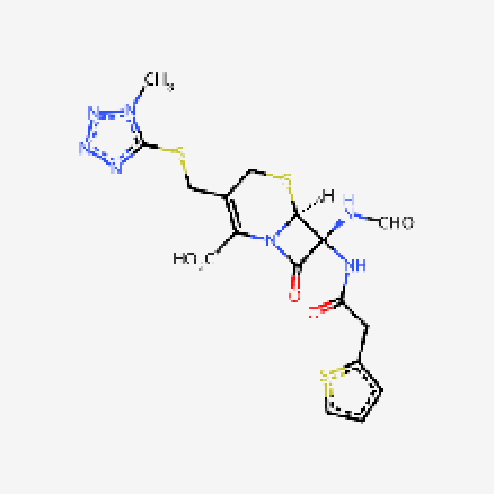 Cn1nnnc1SCC1=C(C(=O)O)N2C(=O)[C@@](NC=O)(NC(=O)Cc3cccs3)[C@@H]2SC1